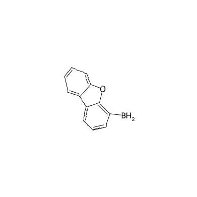 Bc1cccc2c1oc1ccccc12